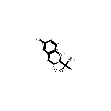 CO[C@@](C)([C@H]1CCc2cc(Cl)ccc2O1)C(C)(C)C